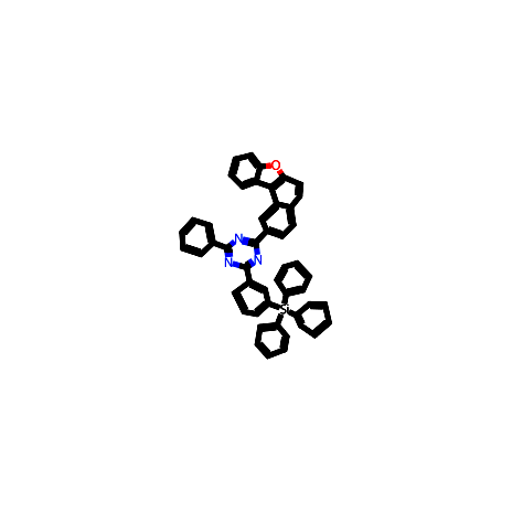 c1ccc(-c2nc(-c3cccc([Si](c4ccccc4)(c4ccccc4)c4ccccc4)c3)nc(-c3ccc4ccc5oc6ccccc6c5c4c3)n2)cc1